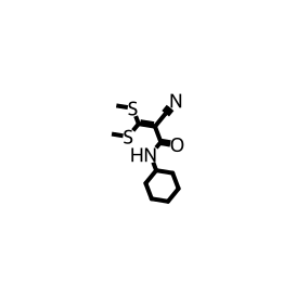 CSC(SC)=C(C#N)C(=O)NC1CCCCC1